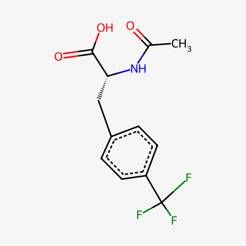 CC(=O)N[C@H](Cc1ccc(C(F)(F)F)cc1)C(=O)O